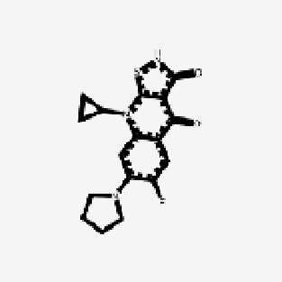 O=c1[nH]sc2c1c(=O)c1cc(F)c(N3CCCC3)cc1n2C1CC1